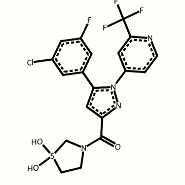 O=C(c1cc(-c2cc(F)cc(Cl)c2)n(-c2ccnc(C(F)(F)F)c2)n1)N1CCS(O)(O)C1